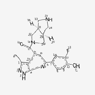 Cc1n[nH]c2nc(-c3ccc(O)c(F)c3)cc(C(=O)N3C[C@H]4CNC[C@H]4C3)c12